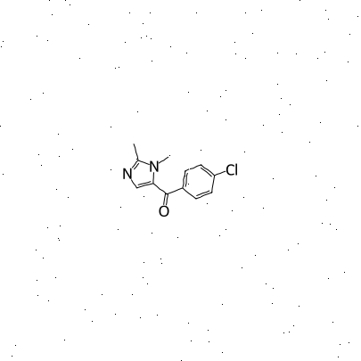 Cc1ncc(C(=O)c2ccc(Cl)cc2)n1C